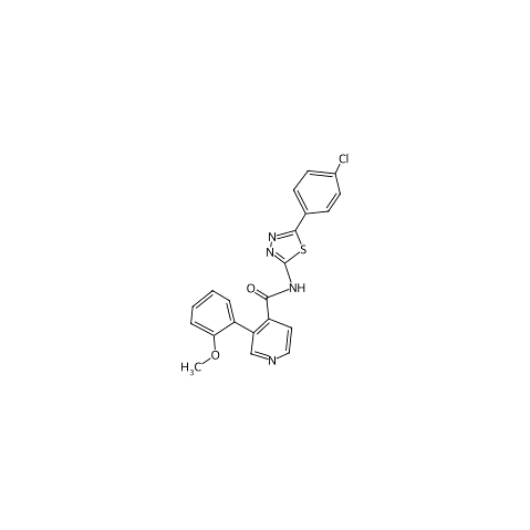 COc1ccccc1-c1cnccc1C(=O)Nc1nnc(-c2ccc(Cl)cc2)s1